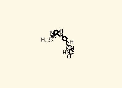 COc1cnc2ccc(Cl)c(CN[C@H]3CC[C@H](NCc4cnc5c(n4)NC(=O)CS5)CC3)c2n1